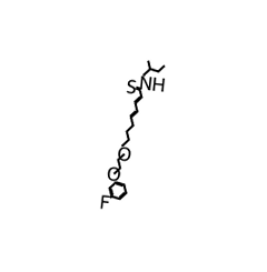 CCC(C)CNC(=S)C=CC=CCCCCOCCOc1cccc(F)c1